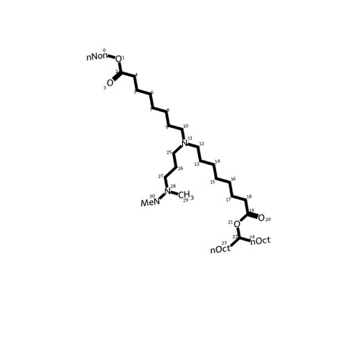 CCCCCCCCCOC(=O)CCCCCCCN(CCCCCCCC(=O)OC(CCCCCCCC)CCCCCCCC)CCCN(C)NC